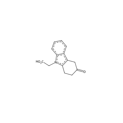 O=C(O)Cn1c2c(c3ccccc31)CC(=O)CC2